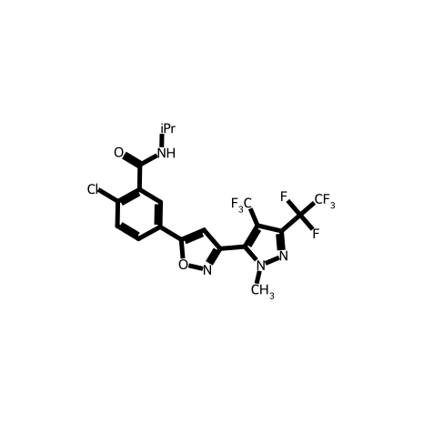 CC(C)NC(=O)c1cc(-c2cc(-c3c(C(F)(F)F)c(C(F)(F)C(F)(F)F)nn3C)no2)ccc1Cl